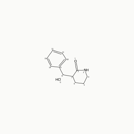 Cl.O=C1NCCCC1Cc1ccccc1